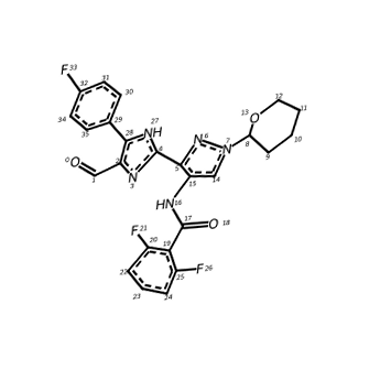 O=Cc1nc(-c2nn(C3CCCCO3)cc2NC(=O)c2c(F)cccc2F)[nH]c1-c1ccc(F)cc1